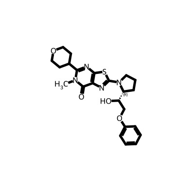 Cn1c(C2CCOCC2)nc2sc(N3CCC[C@@H]3C(O)COc3ccccc3)nc2c1=O